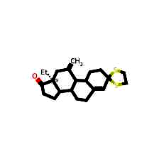 C=C1C[C@]2(CC)C(=O)CCC2C2CCC3=CC4(CCC3C12)SCCS4